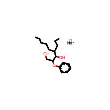 CCCCCC(CCC)C(O)C(CO)Oc1ccccc1.[Cl-].[Na+]